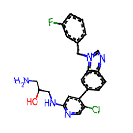 NCC(O)CNc1cc(-c2ccc3ncn(Cc4cccc(F)c4)c3c2)c(Cl)cn1